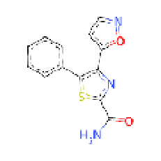 NC(=O)c1nc(-c2ccno2)c(-c2ccccc2)s1